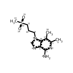 Cc1nc(N)c2ncn(CCCS(C)(=O)=O)c2c1C